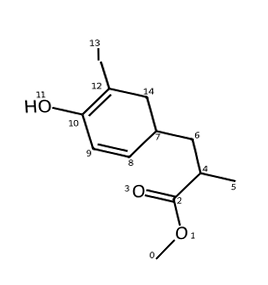 COC(=O)C(C)CC1C=CC(O)=C(I)C1